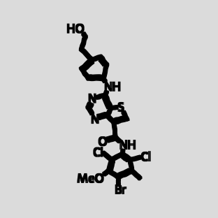 COc1c(Cl)c(NC(=O)c2csc3c(Nc4ccc(CCO)cc4)ncnc23)c(Cl)c(C)c1Br